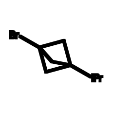 CC(C)C12CC(Br)(C1)C2